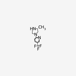 C[C@@H]1CN(c2ccc(C(F)(F)F)cn2)CCN1